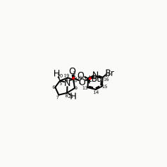 CC(C)(C)OC(=O)N1[C@@H]2CC[C@H]1C[C@@H](Oc1cccc(Br)n1)C2